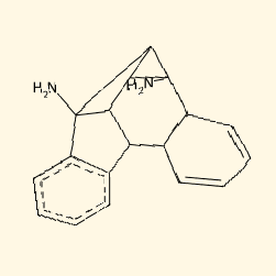 NC12c3ccccc3C3C4C=CC=CC4C4(N)C(C31)C24